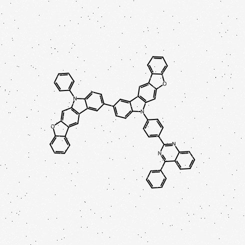 c1ccc(-c2nc(-c3ccc(-n4c5ccc(-c6ccc7c(c6)c6cc8c(cc6n7-c6ccccc6)oc6ccccc68)cc5c5cc6c(cc54)oc4ccccc46)cc3)nc3ccccc23)cc1